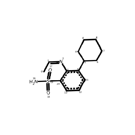 C/C=N\c1c(C2CCCCC2)cccc1S(N)(=O)=O